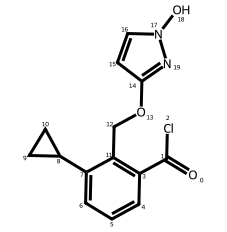 O=C(Cl)c1cccc(C2CC2)c1COc1ccn(O)n1